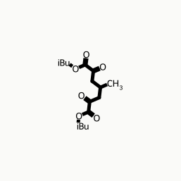 CCC(C)OC(=O)C(=O)CC(C)CC(=O)C(=O)OC(C)CC